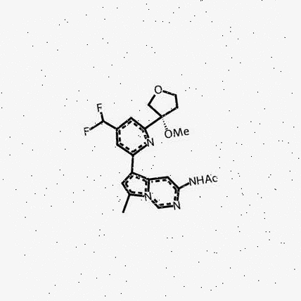 CO[C@@]1(c2cc(C(F)F)cc(-c3cc(C)n4cnc(NC(C)=O)cc34)n2)CCOC1